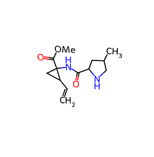 C=CC1CC1(NC(=O)C1CC(C)CN1)C(=O)OC